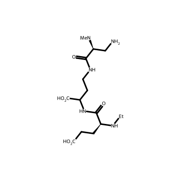 CCN[C@@H](CCC(=O)O)C(=O)NC(CCNC(=O)[C@H](CN)NC)C(=O)O